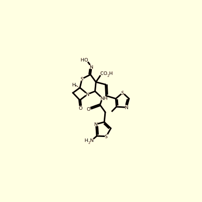 Cc1ncsc1C=CC1(C(=O)O)C(=NO)S[C@@H]2CC(=O)N2C1NC(=O)Cc1csc(N)n1